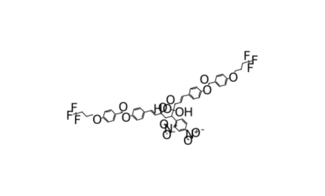 O=C(C=Cc1ccc(OC(=O)c2ccc(OCCCC(F)(F)F)cc2)cc1)CC(c1ccc([N+](=O)[O-])cc1[N+](=O)[O-])C(O)(O)C(=O)C=Cc1ccc(OC(=O)c2ccc(OCCCC(F)(F)F)cc2)cc1